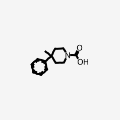 CC1(c2ccccc2)CCN(C(=O)O)CC1